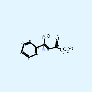 CCOC(=O)C(=O)/C=C(\N=O)c1ccccc1